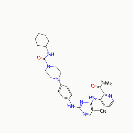 CNC(=O)c1ncccc1Nc1nc(Nc2ccc(N3CCN(C(=O)NC4CCCCC4)CC3)cc2)ncc1C#N